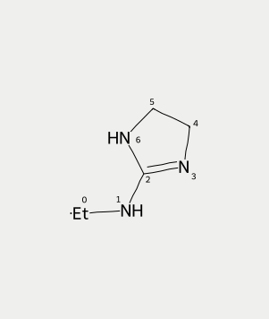 C[CH]NC1=NCCN1